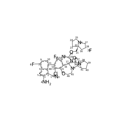 N#Cc1c(N)sc2c(F)ccc(-c3c(Cl)c4c5c(nc(OC[C@@]67CCCN6C[C@H](F)C7)nc5c3F)N(C3CC5CCC3N5C=O)CCO4)c12